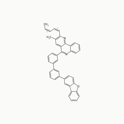 C/C=C\C=C/c1nc2c(cc1C)c(-c1cccc(-c3cccc(-c4ccc5oc6ccccc6c5c4)c3)c1)nc1ccccc12